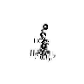 CC(C)[Si](Oc1ccc2c(c1)OC[C@@H](N1CCC(Cc3ccccc3)CC1)[C@H]2O)(C(C)C)C(C)C